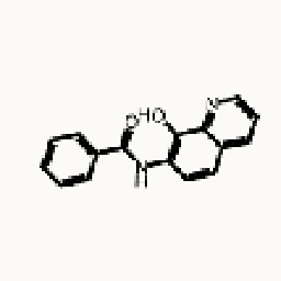 O=C(Nc1ccc2cccnc2c1O)c1ccccc1